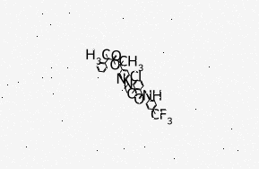 CC(OC(=O)[C@H](C)c1ccccc1)c1cnc(N2CCOc3c(C(=O)Nc4ccc(C(F)(F)F)cc4)cccc32)c(Cl)c1